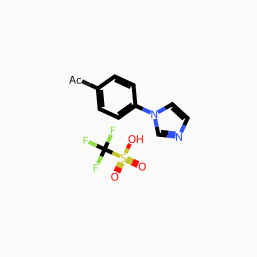 CC(=O)c1ccc(-n2ccnc2)cc1.O=S(=O)(O)C(F)(F)F